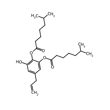 C=CCc1cc(O)c(OC(=O)CCCCC(C)C)c(OC(=O)CCCCC(C)C)c1